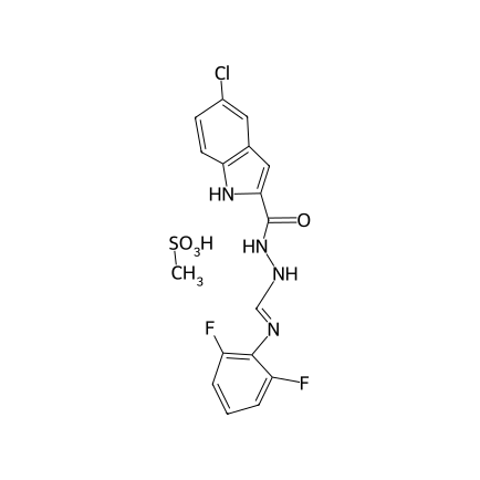 CS(=O)(=O)O.O=C(NNC=Nc1c(F)cccc1F)c1cc2cc(Cl)ccc2[nH]1